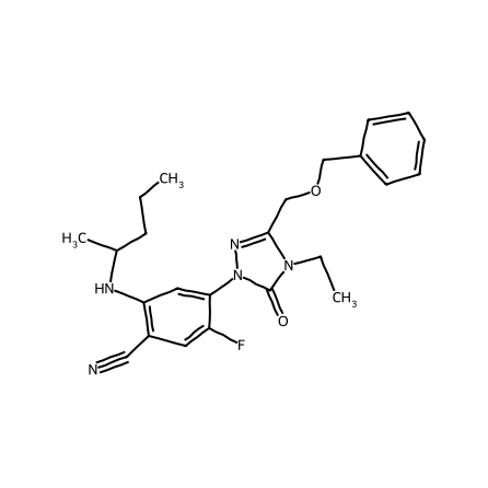 CCCC(C)Nc1cc(-n2nc(COCc3ccccc3)n(CC)c2=O)c(F)cc1C#N